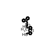 C[C@H](NC(=O)OCC1c2ccccc2-c2ccccc21)c1cccc(Cl)c1Sc1ccccc1CO